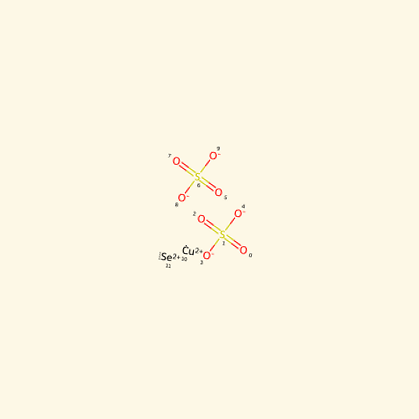 O=S(=O)([O-])[O-].O=S(=O)([O-])[O-].[Cu+2].[Se+2]